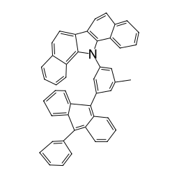 Cc1cc(-c2c3ccccc3c(-c3ccccc3)c3ccccc23)cc(-n2c3c4ccccc4ccc3c3ccc4ccccc4c32)c1